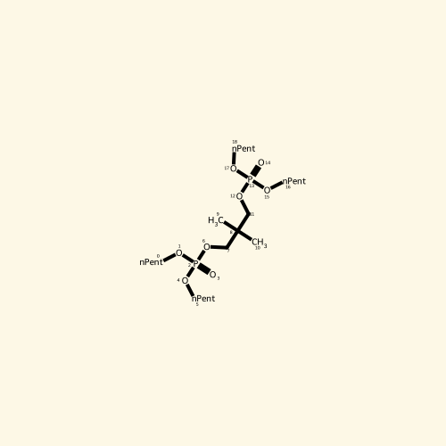 CCCCCOP(=O)(OCCCCC)OCC(C)(C)COP(=O)(OCCCCC)OCCCCC